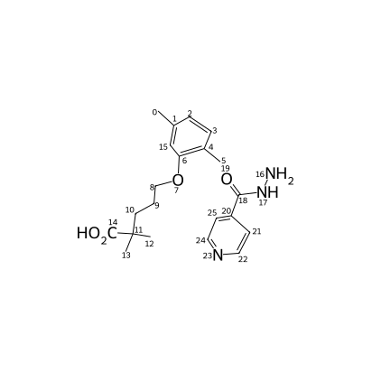 Cc1ccc(C)c(OCCCC(C)(C)C(=O)O)c1.NNC(=O)c1ccncc1